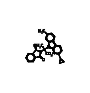 Cc1ccc2c3ccc(C4CC4)cc3n(C(C)(C(=O)O)N3C(=O)c4ccccc4C3=O)c2c1